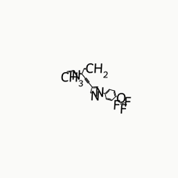 C=C/C(C#Cc1cnn(-c2ccc(OC(F)(F)F)cc2)c1)=N\C=C/C